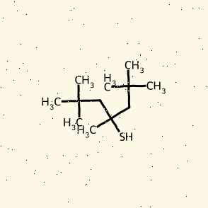 CC(C)(C)CC(C)(S)CC(C)(C)C